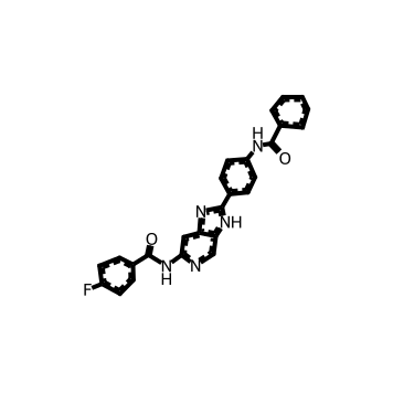 O=C(Nc1ccc(-c2nc3cc(NC(=O)c4ccc(F)cc4)ncc3[nH]2)cc1)c1ccccc1